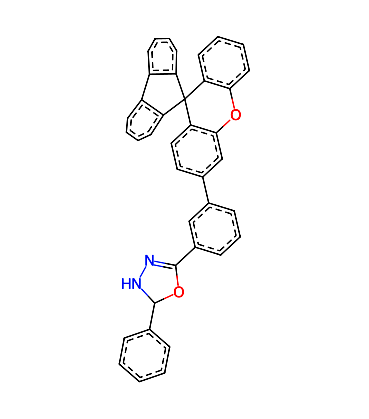 c1ccc(C2NN=C(c3cccc(-c4ccc5c(c4)Oc4ccccc4C54c5ccccc5-c5ccccc54)c3)O2)cc1